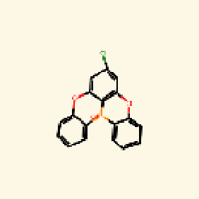 O=P12c3ccccc3Oc3cc(Cl)cc(c31)Oc1ccccc12